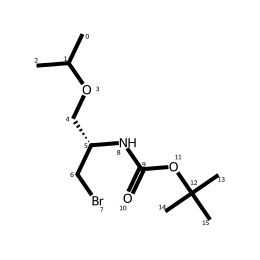 CC(C)OC[C@@H](CBr)NC(=O)OC(C)(C)C